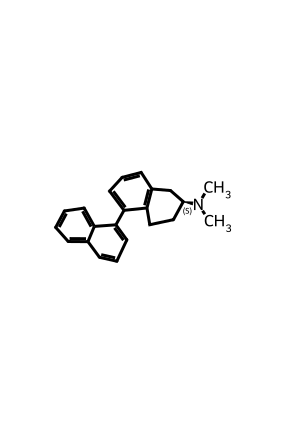 CN(C)[C@H]1CCc2c(cccc2-c2cccc3ccccc23)C1